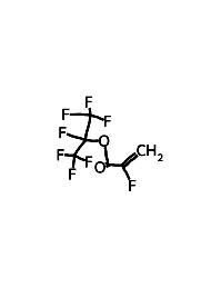 C=C(F)C(=O)OC(F)(C(F)(F)F)C(F)(F)F